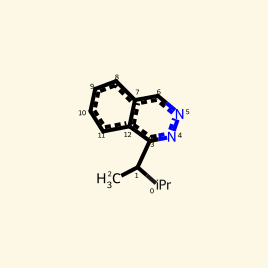 CC(C)C(C)c1nncc2ccccc12